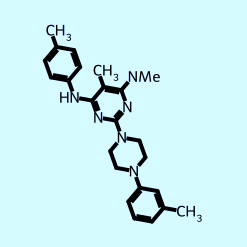 CNc1nc(N2CCN(c3cccc(C)c3)CC2)nc(Nc2ccc(C)cc2)c1C